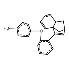 Nc1ccc(Oc2ccccc2C2=CC3CC4C=CC=CC24C3)cc1